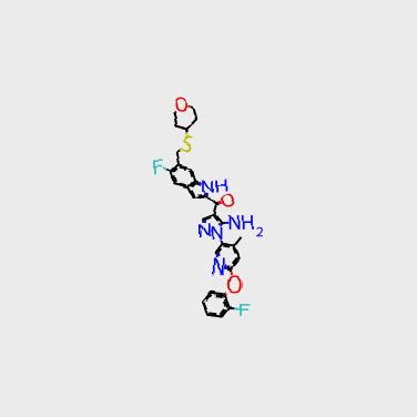 Cc1cc(Oc2ccccc2F)ncc1-n1ncc(C(=O)c2cc3cc(F)c(CSC4CCOCC4)cc3[nH]2)c1N